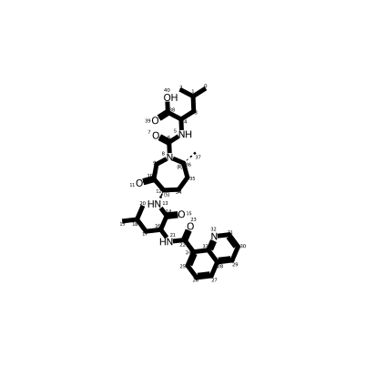 CC(C)CC(NC(=O)N1CC(=O)[C@@H](NC(=O)C(CC(C)C)NC(=O)c2cccc3cccnc23)CC[C@H]1C)C(=O)O